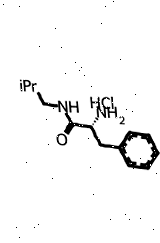 CC(C)CNC(=O)[C@H](N)Cc1ccccc1.Cl